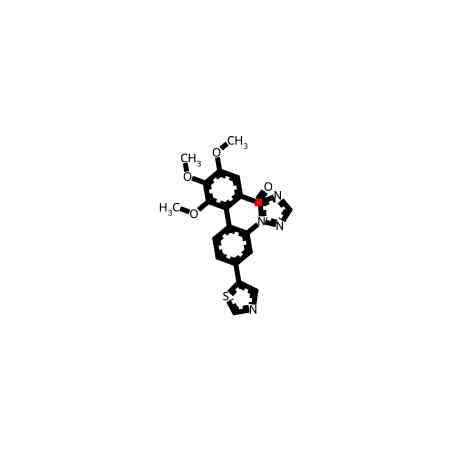 COc1cc(C=O)c(-c2ccc(-c3cncs3)cc2-n2cncn2)c(OC)c1OC